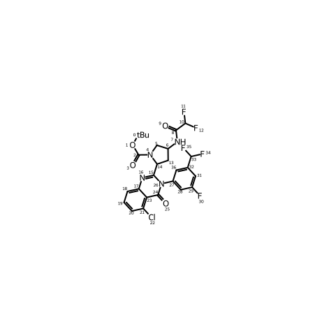 CC(C)(C)OC(=O)N1CC(NC(=O)C(F)F)CC1c1nc2cccc(Cl)c2c(=O)n1-c1cc(F)cc(C(F)F)c1